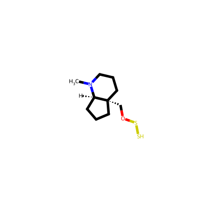 CN1CCC[C@@]2(COSS)CCC[C@@H]12